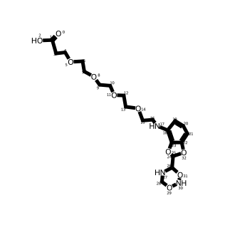 O=C(O)CCOCCOCCOCCOCCNc1cccc2c1OC(C1NCONO1)O2